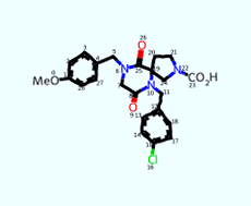 COc1ccc(CN2CC(=O)N(Cc3ccc(Cl)cc3)C3(CCN(C(=O)O)C3)C2=O)cc1